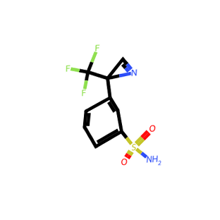 NS(=O)(=O)c1cccc(C2(C(F)(F)F)C=N2)c1